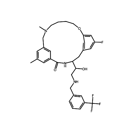 Cc1cc2cc(c1)C(=O)NC(C(O)CNCc1cccc(C(F)(F)F)c1)Cc1cc(F)cc(c1)OCCCCN(C)C2